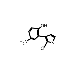 Nc1ccc(O)c(-c2ccsc2Cl)c1